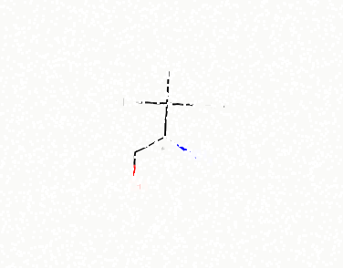 CCCCCCC(C)(CCCC)[C@@H](N)CO